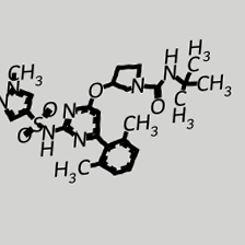 Cc1cccc(C)c1-c1cc(OC2CCN(C(=O)NC(C)(C)C)C2)nc(NS(=O)(=O)c2cnn(C)c2)n1